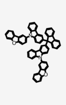 c1ccc2c(c1)-c1ccccc1C2(c1ccc2c(c1)c1ccccc1n2-c1ccc2oc3ccccc3c2c1)c1ccc2c(c1)c1ccccc1n2-c1ccc2oc3ccccc3c2c1